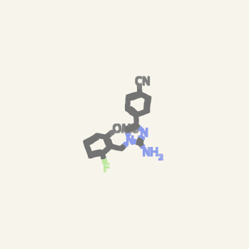 COc1cccc(F)c1Cn1cc(-c2ccc(C#N)cc2)nc1N